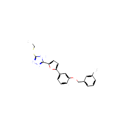 CC(=O)CSc1nnc(-c2ccc(-c3cccc(OCc4cccc(C(F)(F)F)c4)c3)o2)[nH]1